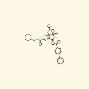 O=C(C=C[C@@H]1[C@H]2CC(=O)O[C@H]2C[C@H]1OC(=O)c1ccc(-c2ccccc2)cc1)CCC1CCCCC1